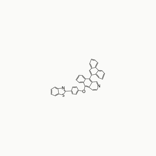 c1ccc2c(c1)cc(-c1c3ccccc3c(Oc3ccc(-c4nc5ccccc5s4)cc3)c3ccncc13)c1ccccc12